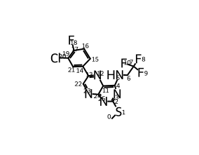 CSc1nc(NCC(F)(F)F)c2nc(-c3ccc(F)c(Cl)c3)cnc2n1